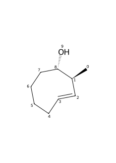 C[C@H]1/C=C/CCCC[C@@H]1O